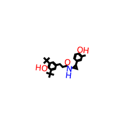 Cc1cc(C2CC2NC(=O)CCc2cc(C(C)(C)C)c(O)c(C(C)(C)C)c2)ccc1O